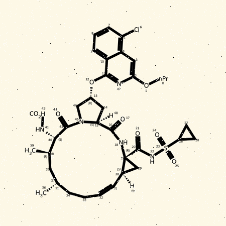 CCCOc1cc2c(Cl)cccc2c(O[C@@H]2C[C@H]3C(=O)N[C@]4(C(=O)NS(=O)(=O)C5CC5)C[C@H]4C=CCC[C@H](C)C[C@@H](C)[C@H](NC(=O)O)C(=O)N3C2)n1